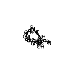 Cc1ncsc1-c1ccc([C@H](CC(=O)NCCCC(=O)NCCN(C)C(=O)c2ccc(-c3cc(C(=O)N[C@@H]4CCc5ccccc54)no3)cc2O)NC(=O)[C@@H]2C[C@@H](O)CN2C(=O)[C@@H](NC(=O)C2(F)CC2)C(C)(C)C)cc1